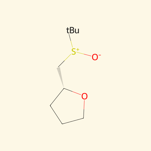 CC(C)(C)[S+]([O-])C[C@H]1CCCO1